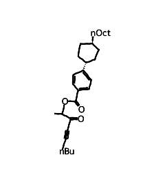 CCCCC#CC(=O)C(C)OC(=O)c1ccc([C@H]2CC[C@H](CCCCCCCC)CC2)cc1